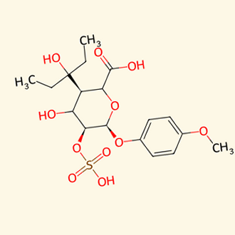 CCC(O)(CC)[C@H]1C(C(=O)O)O[C@@H](Oc2ccc(OC)cc2)[C@@H](OS(=O)(=O)O)C1O